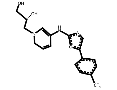 OC[C@H](O)CN1C=C(Nc2ncc(-c3ccc(C(F)(F)F)cc3)o2)C=CC1